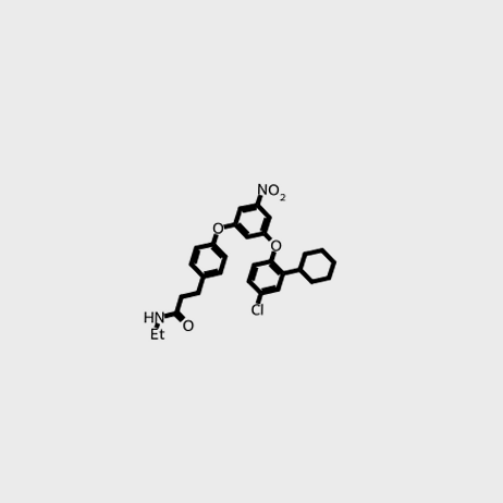 CCNC(=O)CCc1ccc(Oc2cc(Oc3ccc(Cl)cc3C3CCCCC3)cc([N+](=O)[O-])c2)cc1